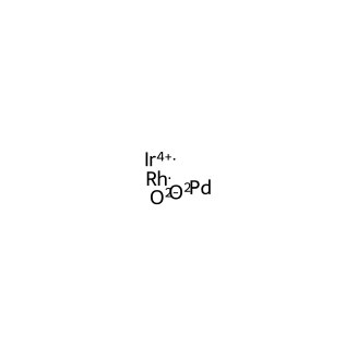 [Ir+4].[O-2].[O-2].[Pd].[Rh]